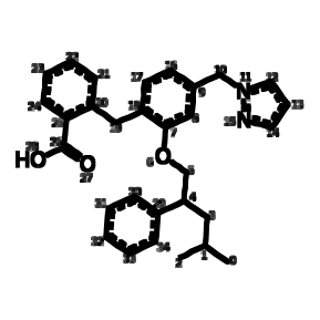 CC(C)CC(COc1cc(Cn2cccn2)ccc1Cc1ccccc1C(=O)O)c1ccccc1